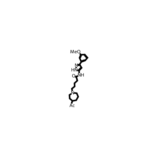 COc1cccc(-c2cc(NC(=O)CCCCN3CCCC(C(C)=O)CC3)[nH]n2)c1